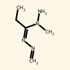 C=N/N=C(/CC)N(C)N